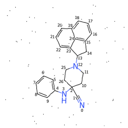 N#CC1(Nc2ccccc2)CCN(C2Cc3cccc4cccc2c34)CC1